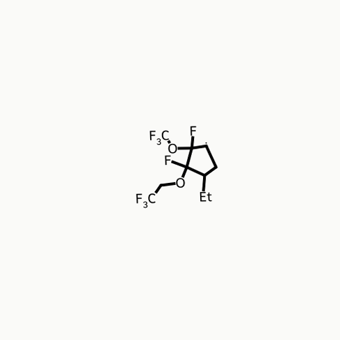 [CH2]CC1C[CH]C(F)(OC(F)(F)F)C1(F)OCC(F)(F)F